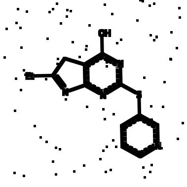 CCC1=Nc2nc(Sc3cccnc3)nc(O)c2C1